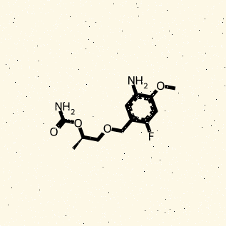 COc1cc(F)c(COC[C@@H](C)OC(N)=O)cc1N